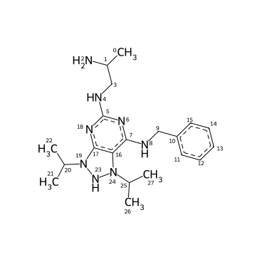 CC(N)CNc1nc(NCc2ccccc2)c2c(n1)N(C(C)C)NN2C(C)C